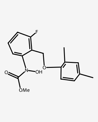 COC(=O)N(O)c1cccc(F)c1COc1ccc(C)cc1C